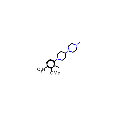 COc1c([N+](=O)[O-])ccc(N2CCC(N3CCN(C)CC3)CC2)c1C